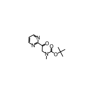 CN(CC(=O)c1ncccn1)C(=O)OC(C)(C)C